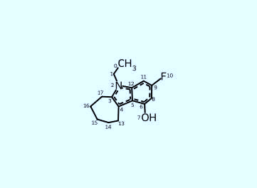 CCn1c2c(c3c(O)cc(F)cc31)CCCCC2